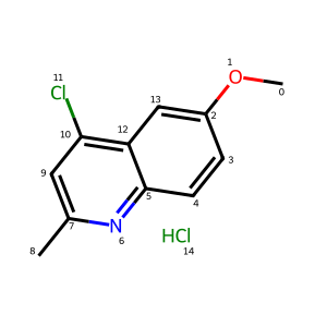 COc1ccc2nc(C)cc(Cl)c2c1.Cl